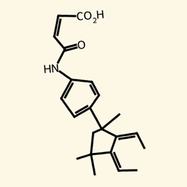 C/C=C1\C(=C/C)C(C)(c2ccc(NC(=O)/C=C\C(=O)O)cc2)CC1(C)C